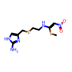 CSC(=C[N+](=O)[O-])NCCSCc1c[nH]c(N)n1